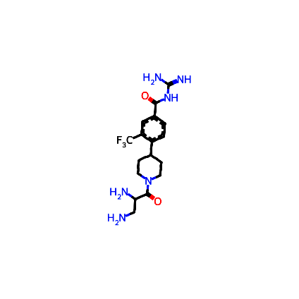 N=C(N)NC(=O)c1ccc(C2CCN(C(=O)C(N)CN)CC2)c(C(F)(F)F)c1